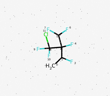 [CH2]C(F)C(F)([C](F)F)C(F)(F)Cl